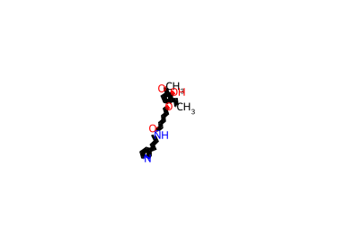 CCCc1c(OCCCCCCC(=O)NCCCCc2cccnc2)ccc(C(C)=O)c1O